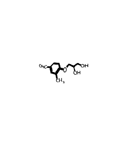 Cc1cc(C=O)ccc1OC[C@H](O)CO